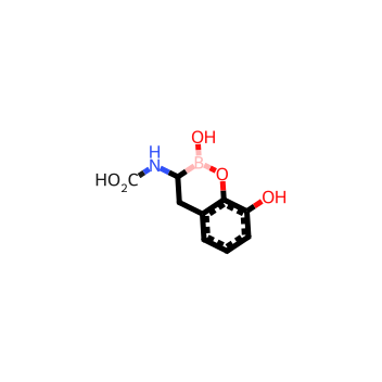 O=C(O)NC1Cc2cccc(O)c2OB1O